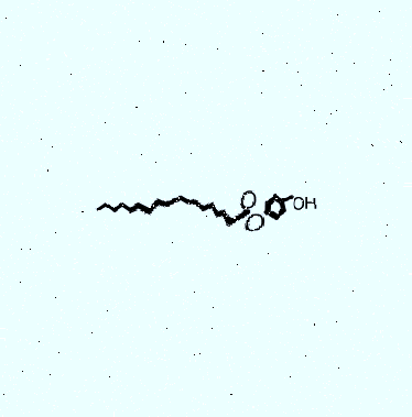 CCCCCCCCCCCCCCCCCC(=O)Oc1ccc(CO)cc1